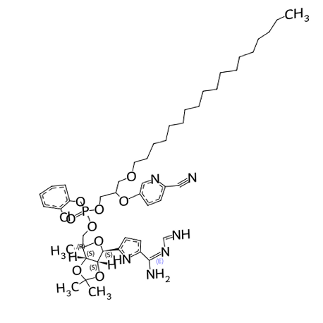 CCCCCCCCCCCCCCCCCCOCC(COP(=O)(OC[C@@]1(C)O[C@@H](c2ccc(/C(N)=N\C=N)[nH]2)[C@@H]2OC(C)(C)O[C@@H]21)Oc1ccccc1Cl)Oc1ccc(C#N)nc1